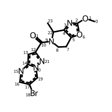 COc1nc2c(o1)CCN(C(=O)c1cc3ncc(Br)cn3n1)C2C